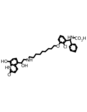 O=C(O)NC(c1ccccc1)c1cccc(OCCCCCCCCCNCC(O)c2ccc(O)c3[nH]c(=O)ccc23)c1Cl